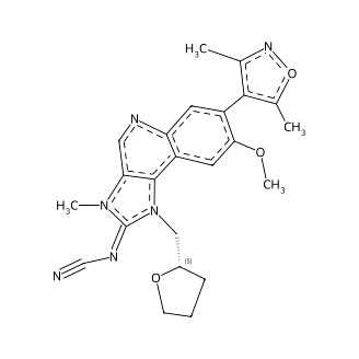 COc1cc2c(cc1-c1c(C)noc1C)ncc1c2n(C[C@@H]2CCCO2)c(=NC#N)n1C